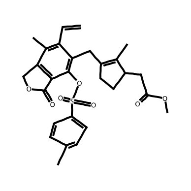 C=Cc1c(C)c2c(c(OS(=O)(=O)c3ccc(C)cc3)c1CC1=C(C)C(CC(=O)OC)CC1)C(=O)OC2